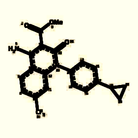 COC(=O)c1c(N)c2ccc(C(F)(F)F)cc2n(-c2ccc(C3CC3)cc2)c1=O